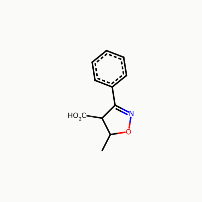 CC1ON=C(c2ccccc2)C1C(=O)O